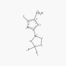 Cc1nc(N2CCC(F)(F)C2)sc1C(=O)O